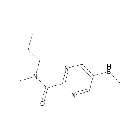 CBc1cnc(C(=O)N(C)CCC)nc1